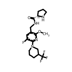 COc1nc(N2CCCC(C(F)(F)F)C2)c(F)cc1CNC(=O)[C@@H]1CCCN1